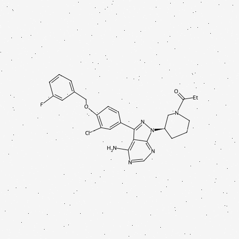 CCC(=O)N1CCC[C@@H](n2nc(-c3ccc(OCc4cccc(F)c4)c(Cl)c3)c3c(N)ncnc32)C1